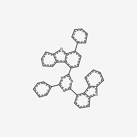 c1ccc(-c2nc(-c3cccc4sc5ccccc5c34)nc(-c3ccc(-c4ccccc4)c4oc5ccccc5c34)n2)cc1